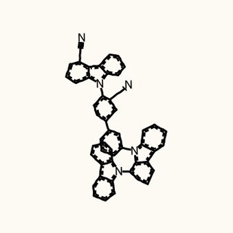 N#Cc1cc(-c2cccc(-n3c4ccccc4c4cccc(-n5c6ccccc6c6ccccc65)c43)c2)ccc1-n1c2ccccc2c2c(C#N)cccc21